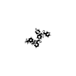 CN1CCN(C2(CNC(=O)c3cccnc3)CCN(C(=O)CC3CCCCN3S(=O)(=O)c3cccc(C(F)(F)F)c3)CC2)CC1